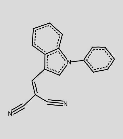 N#CC(C#N)=Cc1cn(-c2ccccc2)c2ccccc12